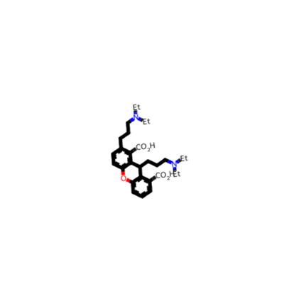 CCN(CC)CCCc1ccc2c(c1C(=O)O)C(CCCN(CC)CC)c1c(cccc1C(=O)O)O2